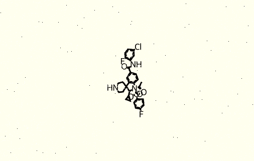 CC(=O)[N+]1(S(=O)(=O)c2ccc(F)cc2)c2ccc(C(=O)Nc3cc(Cl)ccc3F)cc2C2(CCNCC2)C1C1CC1